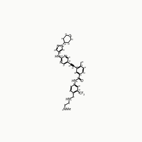 CNCCNCc1ccc(NC(=O)c2ccc(C)c(C#Cc3cnc(Nc4cnn(C5CCOCC5)c4)nc3)c2)cc1C(F)(F)F